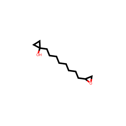 OC1(CCCCCCCCC2CO2)CC1